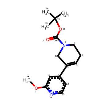 COc1cc(C2=CCCN(C(=O)OC(C)(C)C)C2)ccn1